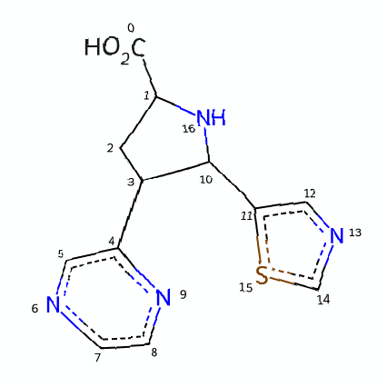 O=C(O)C1CC(c2cnccn2)C(c2cncs2)N1